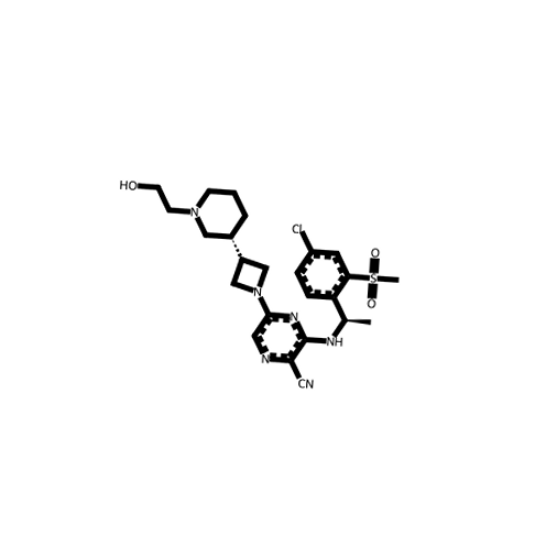 C[C@@H](Nc1nc(N2CC([C@H]3CCCN(CCO)C3)C2)cnc1C#N)c1ccc(Cl)cc1S(C)(=O)=O